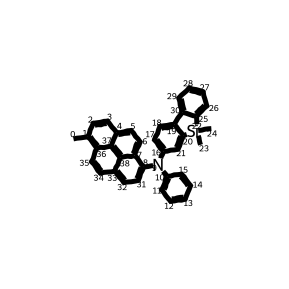 Cc1ccc2ccc3c(N(c4ccccc4)c4ccc5c(c4)[Si](C)(C)c4ccccc4-5)ccc4ccc1c2c43